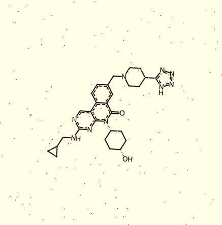 O=c1c2cc(CN3CCC(c4nnn[nH]4)CC3)ccc2c2cnc(NCC3CC3)nc2n1[C@H]1CC[C@@H](O)CC1